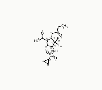 COC(=O)C[C@H]1N(C(=O)O)C[C@@H](NS(=O)(=O)C2CC2)C1(F)F